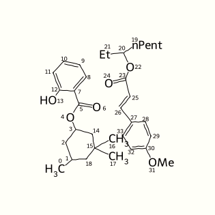 CC1CC(OC(=O)c2ccccc2O)CC(C)(C)C1.CCCCCC(CC)OC(=O)/C=C/c1ccc(OC)cc1